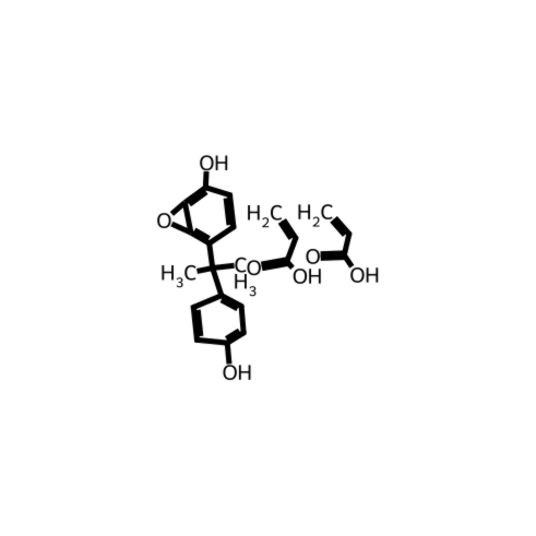 C=CC(=O)O.C=CC(=O)O.CC(C)(c1ccc(O)cc1)c1ccc(O)c2c1O2